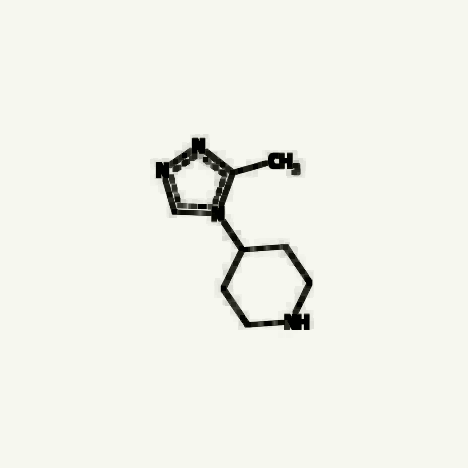 Cc1nncn1C1CCNCC1